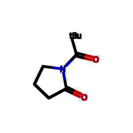 CC(C)(C)C(=O)N1CCCC1=O